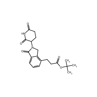 CC(C)(C)OC(=O)CCc1cccc2c1CN(C1CCC(=O)NC1=O)C2=O